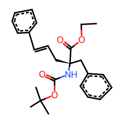 CCOC(=O)[C@](C/C=C/c1ccccc1)(Cc1ccccc1)NC(=O)OC(C)(C)C